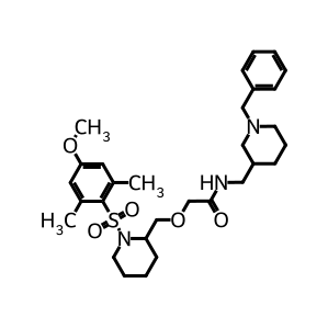 COc1cc(C)c(S(=O)(=O)N2CCCCC2COCC(=O)NCC2CCCN(Cc3ccccc3)C2)c(C)c1